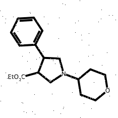 CCOC(=O)C1CN(C2CCOCC2)CC1c1ccccc1